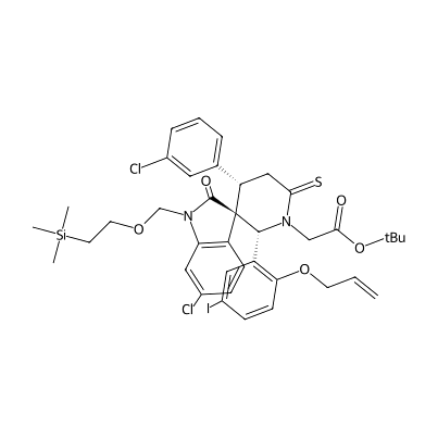 C=CCOc1ccc(I)cc1[C@H]1N(CC(=O)OC(C)(C)C)C(=S)C[C@@H](c2cccc(Cl)c2)[C@]12C(=O)N(COCC[Si](C)(C)C)c1cc(Cl)ccc12